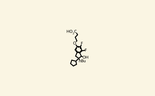 CCCCC1(C2CCCC2)Cc2cc(OCCCC(=O)O)c(F)c(F)c2C1O